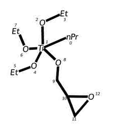 CC[CH2][Ti]([O]CC)([O]CC)([O]CC)[O]CC1CO1